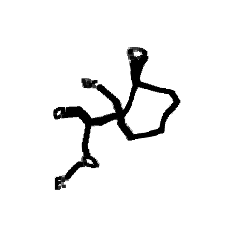 CCOC(=O)C1(Br)CCCC1=O